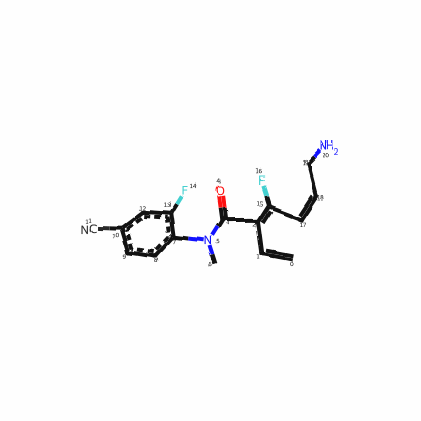 C=C/C(C(=O)N(C)c1ccc(C#N)cc1F)=C(F)\C=C/CN